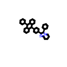 c1ccc(-c2c3ccccc3c(-c3ccc(-c4nc5ccccn5c4-c4ccccc4)cc3)c3ccccc23)cc1